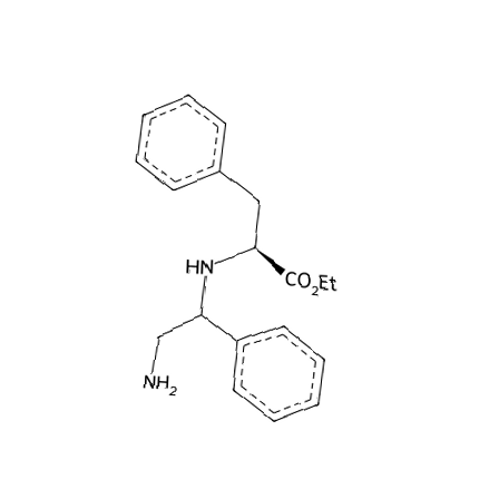 CCOC(=O)[C@H](Cc1ccccc1)NC(CN)c1ccccc1